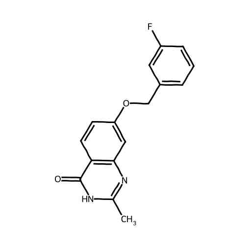 Cc1nc2cc(OCc3cccc(F)c3)ccc2c(=O)[nH]1